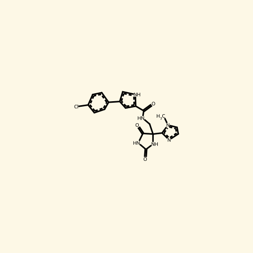 Cn1ccnc1C1(CNC(=O)c2cc(-c3ccc(Cl)cc3)c[nH]2)NC(=O)NC1=O